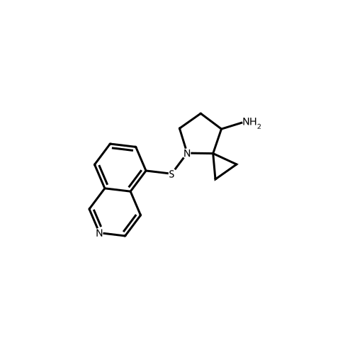 NC1CCN(Sc2cccc3cnccc23)C12CC2